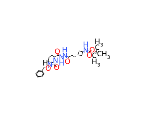 CC(C)(C)OC(=O)N[C@H]1C[C@H](CCC(=O)NNC(=O)[C@@H]2CC[C@H]3CN2C(=O)N3OCc2ccccc2)C1